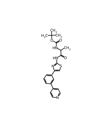 CC(NC(=O)OC(C)(C)C)C(=O)Nc1nc(-c2cccc(-c3ccncc3)c2)cs1